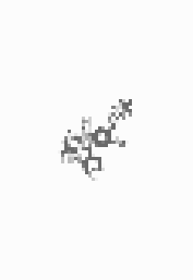 Cc1cnc(Nc2ccc(Br)c(CO[Si](C)(C)C(C)(C)C)c2)nc1NC1COCCC1C#N